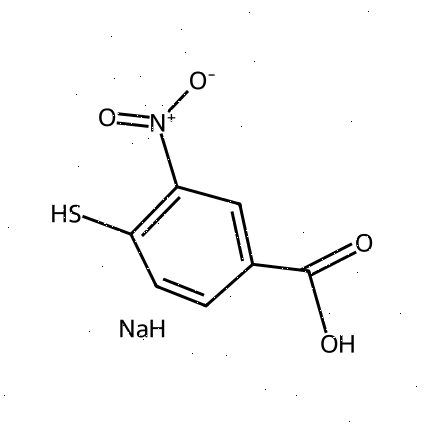 O=C(O)c1ccc(S)c([N+](=O)[O-])c1.[NaH]